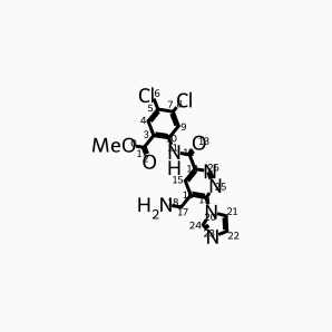 COC(=O)c1cc(Cl)c(Cl)cc1NC(=O)c1cc(CN)c(-n2ccnc2)nn1